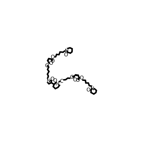 O=C(/C=C\C(=O)OCCCCCCN1CCCCC(C2CCN(CCCCCCOC(=O)/C=C\C(=O)OCCCCCCN3CCCCCC3=O)C2=O)C1=O)OCCCCCCN1CCCCCC1=O